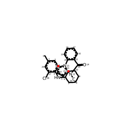 Cc1cnc(NC2CC3CCC2N(C(=O)c2ccccc2-n2nccn2)C3)c(Cl)c1